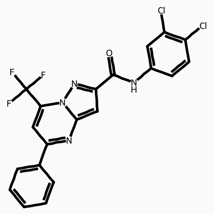 O=C(Nc1ccc(Cl)c(Cl)c1)c1cc2nc(-c3ccccc3)cc(C(F)(F)F)n2n1